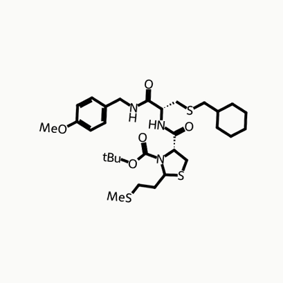 COc1ccc(CNC(=O)[C@H](CSCC2CCCCC2)NC(=O)[C@@H]2CSC(CCSC)N2C(=O)OC(C)(C)C)cc1